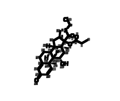 CCC(=O)O[C@]1(C(=O)SCCl)[C@H](C)C[C@H]2[C@@H]3CCC4=CC(=O)C=C[C@]4(C)[C@@]3(F)[C@@H](O)C[C@@]21C